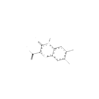 Cc1cc2nc(C(=O)O)c(=O)n(O)c2cc1C